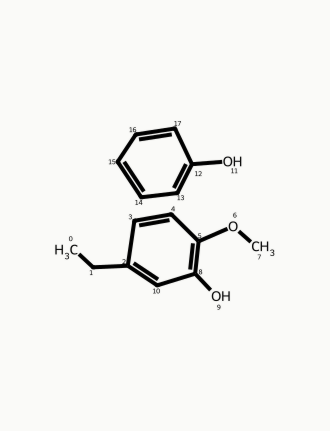 CCc1ccc(OC)c(O)c1.Oc1ccccc1